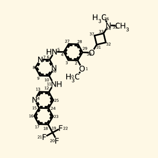 COc1cc(Nc2nccc(Nc3cnc4ccc(C(F)(F)F)cc4c3)n2)ccc1OC1CC(N(C)C)C1